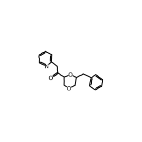 O=C(Cc1ccccn1)C1COCC(Cc2ccccc2)O1